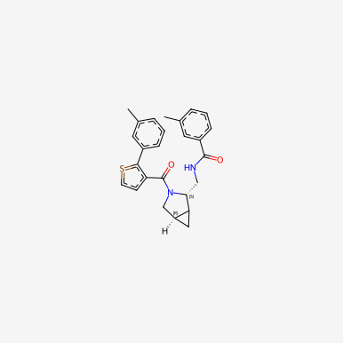 Cc1cccc(C(=O)NC[C@@H]2C3C[C@H]3CN2C(=O)c2ccsc2-c2cccc(C)c2)c1